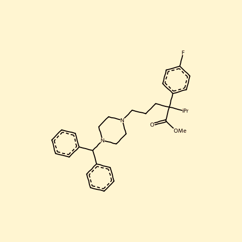 COC(=O)C(CCCN1CCN(C(c2ccccc2)c2ccccc2)CC1)(c1ccc(F)cc1)C(C)C